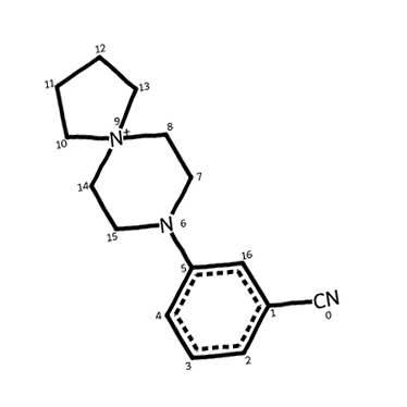 N#Cc1cccc(N2CC[N+]3(CCCC3)CC2)c1